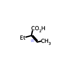 C/C=C(/CC)C(=O)O